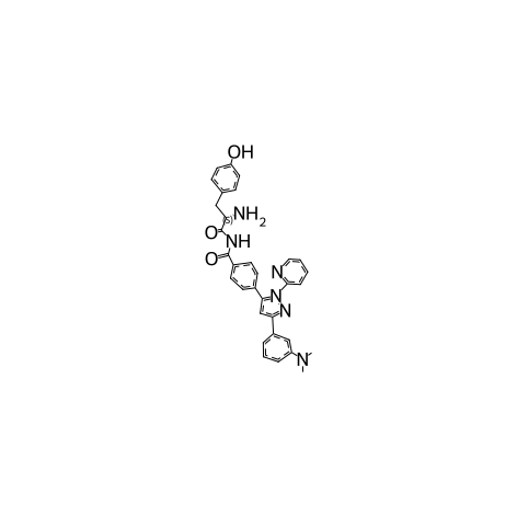 CN(C)c1cccc(-c2cc(-c3ccc(C(=O)NC(=O)[C@@H](N)Cc4ccc(O)cc4)cc3)n(-c3ccccn3)n2)c1